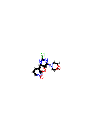 [O-][n+]1cccc2c3nc(Cl)nc(N4CCOCC4)c3oc21